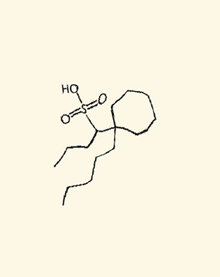 CCCCCC1(C(CCC)S(=O)(=O)O)CCCCC1